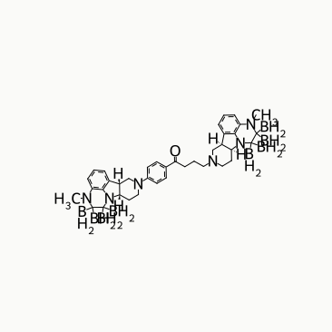 BC1(B)N(C)c2cccc3c2N([C@H]2CCN(CCCC(=O)c4ccc(N5CC[C@H]6[C@@H](C5)c5cccc7c5N6C(B)(B)C(B)(B)N7C)cc4)C[C@@H]32)C1(B)B